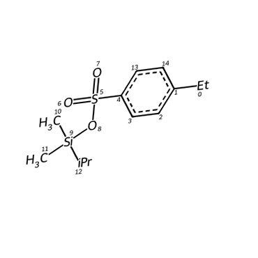 CCc1ccc(S(=O)(=O)O[Si](C)(C)C(C)C)cc1